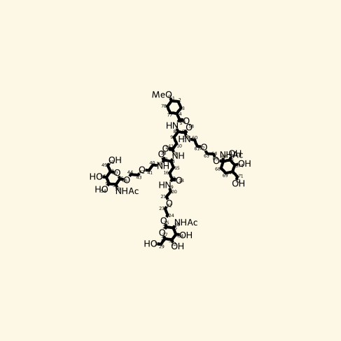 COC1CCC(C(=O)NC(CCC(=O)NC(CCC(=O)NCCOCCOC2OC(CO)C(O)C(O)C2NC(C)=O)C(=O)NCCOCCOC2OC(CO)C(O)C(O)C2NC(C)=O)C(=O)NCCOCCOC2(NC(C)=O)CCC(CO)C(O)C2O)CC1